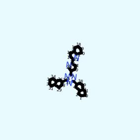 c1ccc2cc(-c3nc(-c4ccc(-c5ccc6ccccc6n5)nc4)nc(-c4ccc5ccccc5c4)n3)ccc2c1